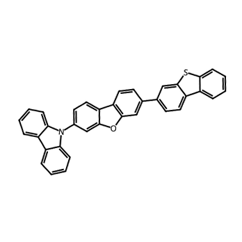 c1ccc2c(c1)sc1cc(-c3ccc4c(c3)oc3cc(-n5c6ccccc6c6ccccc65)ccc34)ccc12